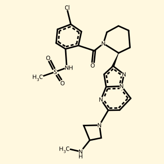 CNC1CN(c2ccn3nc([C@@H]4CCCCN4C(=O)c4cc(Cl)ccc4NS(C)(=O)=O)cc3n2)C1